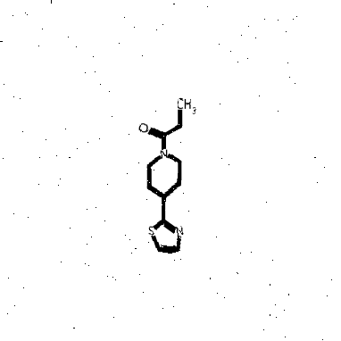 CCC(=O)N1CCC(c2nccs2)CC1